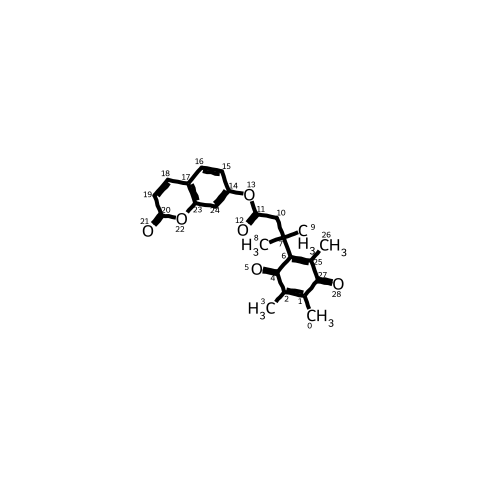 CC1=C(C)C(=O)C(C(C)(C)CC(=O)Oc2ccc3ccc(=O)oc3c2)=C(C)C1=O